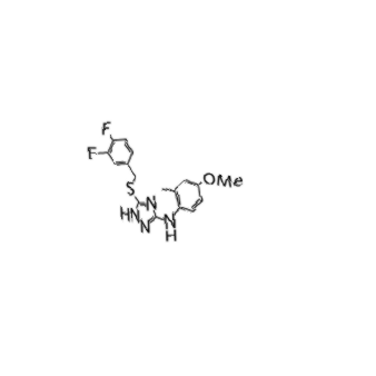 COc1ccc(Nc2n[nH]c(SCc3ccc(F)c(F)c3)n2)c(C)c1